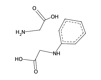 NCC(=O)O.O=C(O)CNc1ccccc1